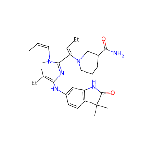 C/C=C\N(C)C(=N\C(Nc1ccc2c(c1)NC(=O)C2(C)C)=C(/C)CC)/C(=C/CC)N1CCCC(C(N)=O)C1